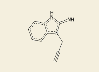 C#CCn1c(=N)[nH]c2ccccc21